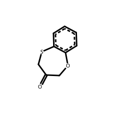 O=C1COc2ccccc2SC1